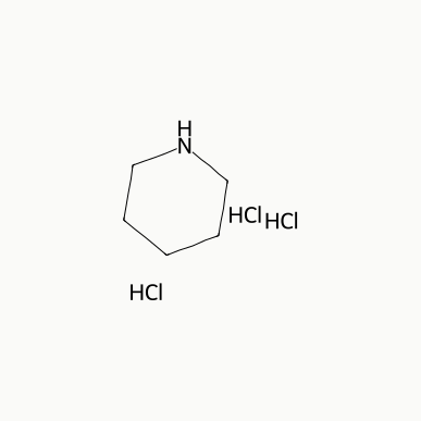 C1CCNCC1.Cl.Cl.Cl